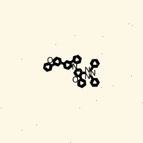 c1ccc(-c2nc(-c3ccccc3)nc(-c3cc(-n4c5ccccc5c5cc(-c6ccc7oc8ccccc8c7c6)ccc54)cc4oc5ccccc5c34)n2)cc1